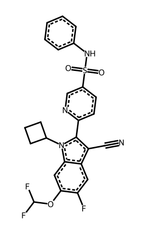 N#Cc1c(-c2ccc(S(=O)(=O)Nc3ccccc3)cn2)n(C2CCC2)c2cc(OC(F)F)c(F)cc12